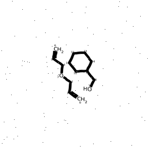 C=CCOCC=C.OCC1CCCCC1